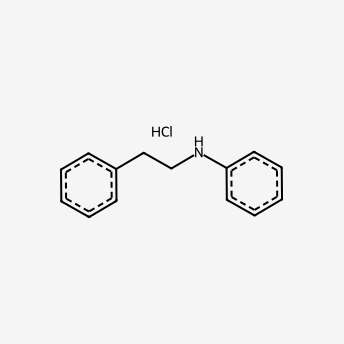 Cl.c1ccc(CCNc2ccccc2)cc1